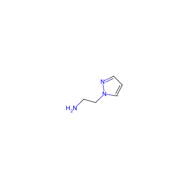 NCCn1[c]ccn1